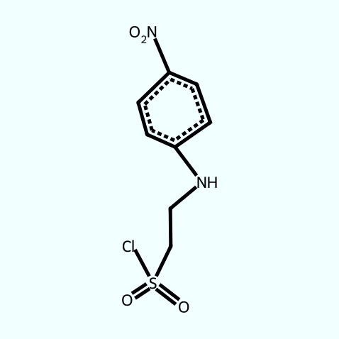 O=[N+]([O-])c1ccc(NCCS(=O)(=O)Cl)cc1